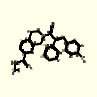 O=C(NO)c1ccc2c(c1)CN(C(=O)C(=Cc1ccc(Cl)cc1)c1ccccc1)CC2